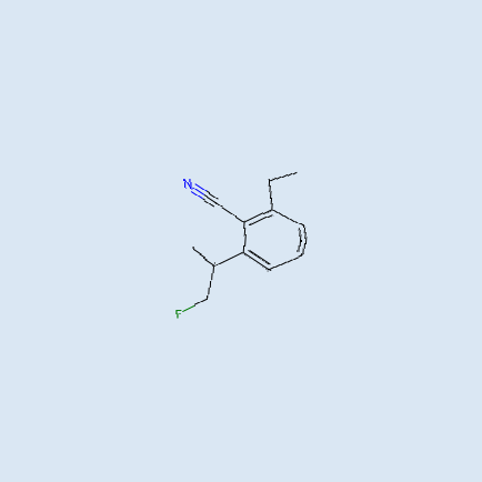 CCc1cccc([C](C)CF)c1C#N